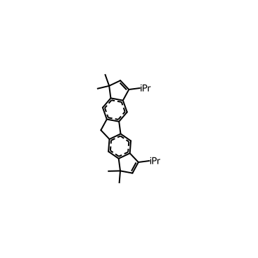 CC(C)C1=CC(C)(C)c2cc3c(cc21)-c1cc2c(cc1C3)C(C)(C)C=C2C(C)C